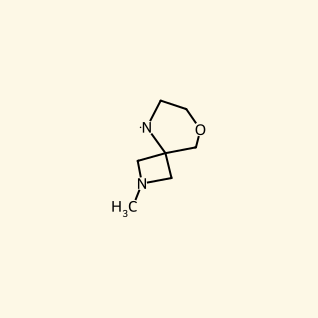 CN1CC2(COCC[N]2)C1